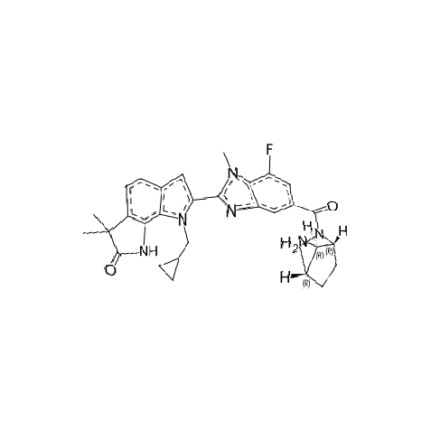 Cn1c(-c2cc3ccc4c(c3n2CC2CC2)NC(=O)C4(C)C)nc2cc(C(=O)N3C[C@H]4CC[C@@H]3[C@@H]4N)cc(F)c21